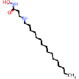 CCCCCCCCCCCCCCCCNCCC(=O)NO